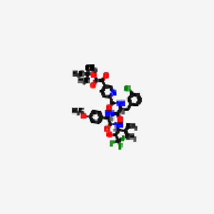 COc1ccc([C@H](NC(=O)[C@H](Cc2cccc(Cl)c2)NC(=O)c2ccc(C(=O)C(=O)OC(C)(C)C)cn2)C(=O)N[C@H](C(=O)C(F)(F)F)C(C)C)cc1